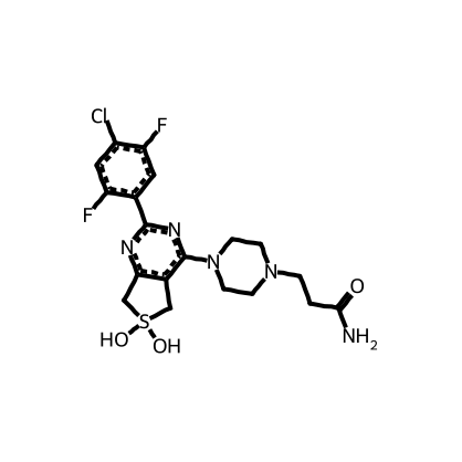 NC(=O)CCN1CCN(c2nc(-c3cc(F)c(Cl)cc3F)nc3c2CS(O)(O)C3)CC1